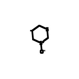 [O-][S+]1C[CH]CSC1